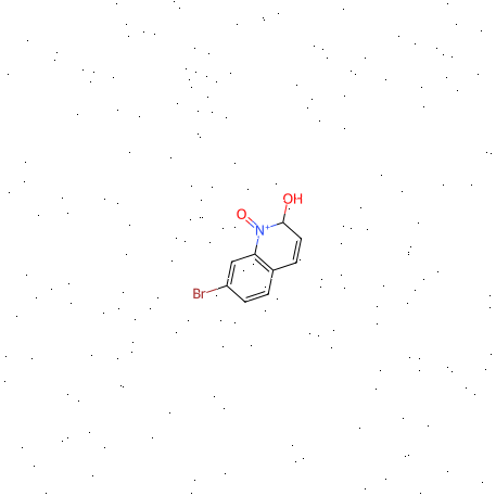 O=[N+]1c2cc(Br)ccc2C=CC1O